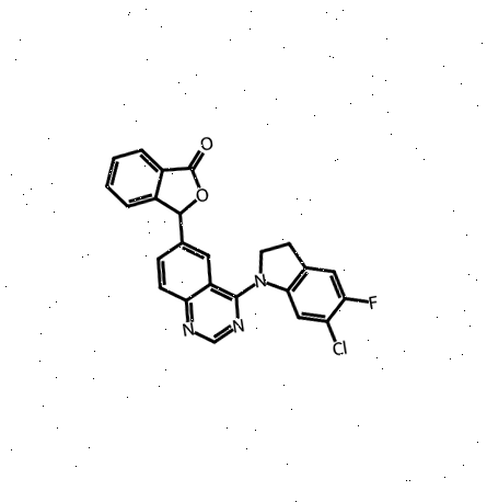 O=C1OC(c2ccc3ncnc(N4CCc5cc(F)c(Cl)cc54)c3c2)c2ccccc21